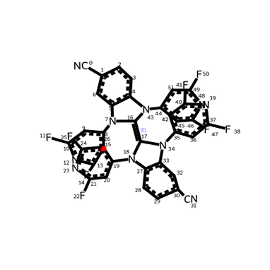 N#Cc1ccc2c(c1)N(c1cc(F)nc(F)c1)/C(=C1\N(c3cc(F)nc(F)c3)c3ccc(C#N)cc3N1c1cc(F)nc(F)c1)N2c1cc(F)nc(F)c1